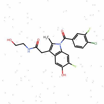 Cc1c(CC(=O)NCCO)c2cc(O)c(F)cc2n1C(=O)c1ccc(Cl)c(F)c1